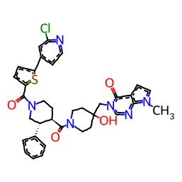 Cn1ccc2c(=O)n(CC3(O)CCN(C(=O)[C@@H]4CCN(C(=O)c5ccc(-c6ccnc(Cl)c6)s5)C[C@H]4c4ccccc4)CC3)cnc21